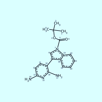 CC(C)(C)OC(=O)n1cc(-c2ccc(N)nc2N)c2ccccc21